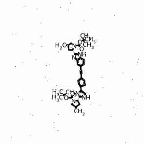 C=C1C[C@@H](c2nc(-c3ccc(C#Cc4ccc5[nH]c([C@@H]6CC(=C)CN6C(=O)OC(C)(C)C)nc5c4)cc3)c[nH]2)N(C(=O)OC(C)(C)C)C1